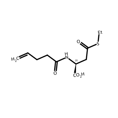 C=CCCC(=O)N[C@@H](CC(=O)SCC)C(=O)O